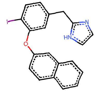 Ic1ccc(Cc2ncc[nH]2)cc1Oc1ccc2ccccc2c1